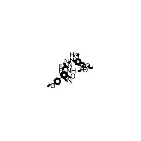 CCOP(=O)(Cc1ccc(Nc2ncc(C(F)(F)F)c(Nc3ccc([C@H]4CC[C@@H](OCC)CC4)c4c3C(=O)N(C)C4)n2)c(OC)c1)OCC